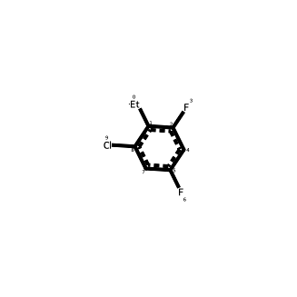 C[CH]c1c(F)cc(F)cc1Cl